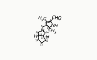 Cc1[nH]c(C=O)c(C)c1CN1C[C@H]2CCC[C@H]2C1